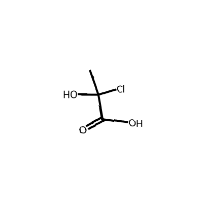 CC(O)(Cl)C(=O)O